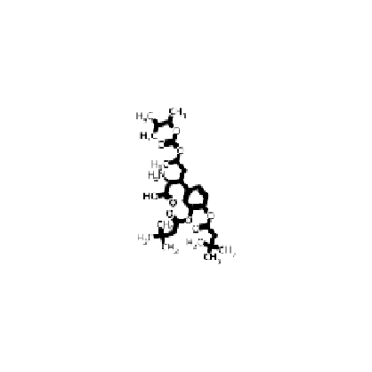 CC(CC(c1ccc(OC(=O)CC(C)(C)C)c(OC(=O)CC(C)(C)C)c1)[C@H](N)C(=O)O)OC(=O)OC(C)C(C)C